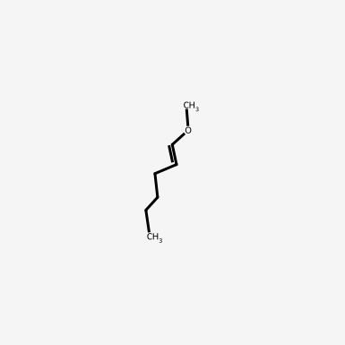 CCCCC=COC